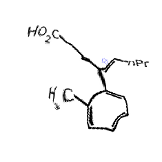 CCC/C=C(/CCC(=O)O)c1ccccc1C